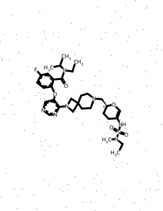 CCN(C(=O)c1cc(F)ccc1Oc1cncnc1N1CC2(CCN(C[C@@H]3CCC(NS(=O)(=O)N(C)CC)=CO3)CC2)C1)C(C)C